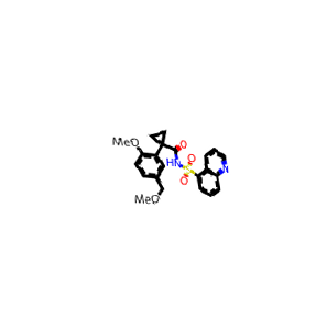 COCc1ccc(OC)c(C2(C(=O)NS(=O)(=O)c3cccc4ncccc34)CC2)c1